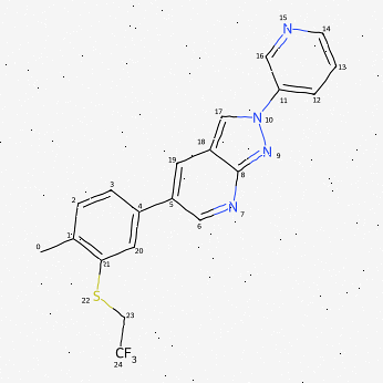 Cc1ccc(-c2cnc3nn(-c4cccnc4)cc3c2)cc1SCC(F)(F)F